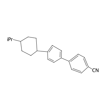 CC(C)C1CCC(c2ccc(-c3ccc(C#N)cc3)cc2)CC1